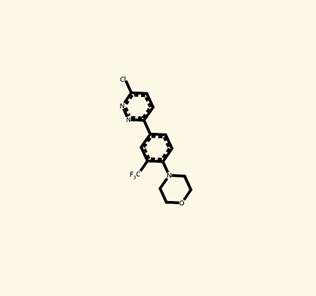 FC(F)(F)c1cc(-c2ccc(Cl)nn2)ccc1N1CCOCC1